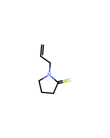 C=CCN1CCCC1=S